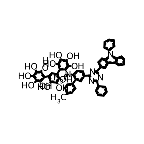 Cc1ccc(-c2cc(-c3nc(-c4ccccc4)nc(-c4ccc5c(c4)c4ccccc4n5-c4ccccc4)n3)ccc2N(C)c2c(O)c(O)c(O)c(O)c2-c2cc(-c3c(O)c(O)c(O)c(O)c3O)c(O)c(O)c2O)cc1